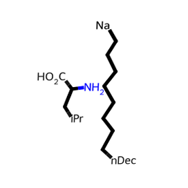 CC(C)CC(N)C(=O)O.CCCCCCCCCCCCCCCCC[CH2][Na]